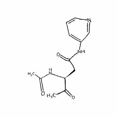 CC(=O)N[C@@H](CC(=O)Nc1cccnc1)C(C)=O